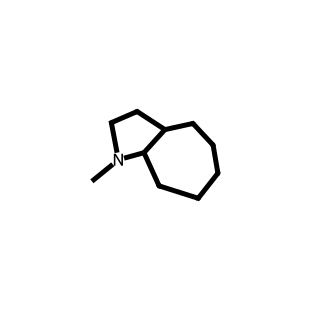 CN1CCC2CCCCCC21